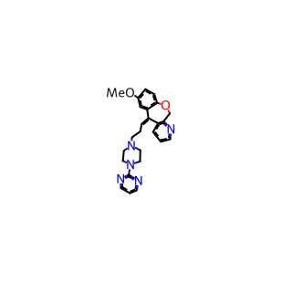 COc1ccc2c(c1)/C(=C/CCN1CCN(c3ncccn3)CC1)c1cccnc1CO2